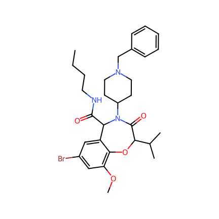 CCCCNC(=O)C1c2cc(Br)cc(OC)c2OC(C(C)C)C(=O)N1C1CCN(Cc2ccccc2)CC1